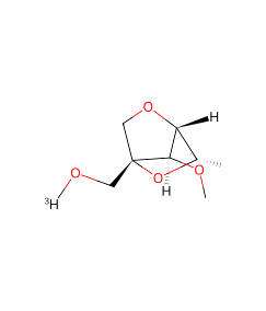 [3H]OC[C@]12CO[C@H]([C@H](C)O1)[C@H]2OC